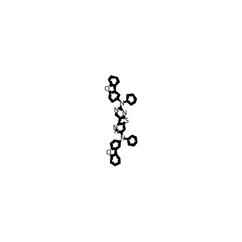 c1ccc(N(c2ccc3oc4ccccc4c3c2)c2cc3sc4nc(N(c5ccccc5)c5ccc6oc7ccccc7c6c5)ncc4c3nn2)cc1